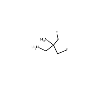 NCC(N)(CF)CF